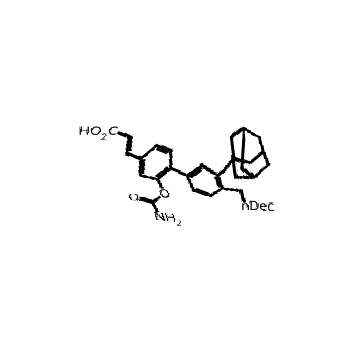 CCCCCCCCCCCc1ccc(-c2ccc(C=CC(=O)O)cc2OC(N)=O)cc1C12CC3CC(CC(C3)C1)C2